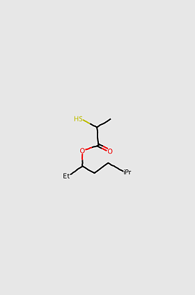 CCC(CCC(C)C)OC(=O)C(C)S